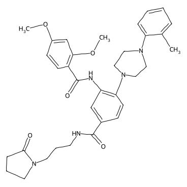 COc1ccc(C(=O)Nc2cc(C(=O)NCCCN3CCCC3=O)ccc2N2CCN(c3ccccc3C)CC2)c(OC)c1